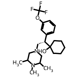 CC1CN(C[C@H](c2cccc(OC(F)(F)F)c2)C2(O)CCCCC2)CC(C)N1C